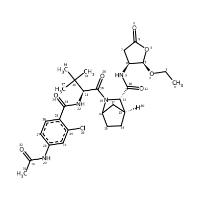 CCO[C@@H]1OC(=O)C[C@@H]1NC(=O)[C@@H]1[C@H]2CCC(C2)N1C(=O)[C@@H](NC(=O)c1ccc(NC(C)=O)cc1Cl)C(C)(C)C